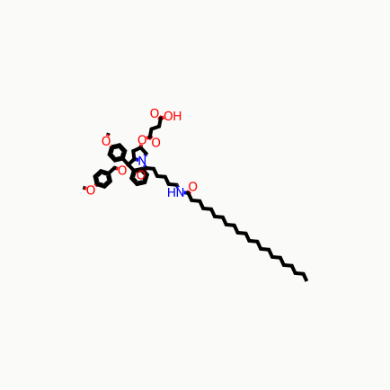 CCCCCCCCCCCCCCCCCCCCCC(=O)NCCCCCC(=O)N1CC(OC(=O)CCC(=O)O)CC1C(OCc1ccc(OC)cc1)(c1ccccc1)c1ccc(OC)cc1